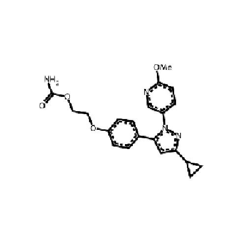 COc1ccc(-n2nc(C3CC3)cc2-c2ccc(OCCOC(N)=O)cc2)cn1